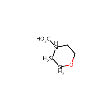 O=C(O)[SiH]1CCO[SiH2][SiH2]1